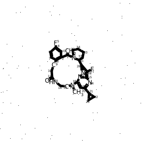 C=C1c2cc(F)ccc2CCC(=O)NCCN(C)c2cc(C3CC3)nc3c(F)c(nn23)C2CCCCN12